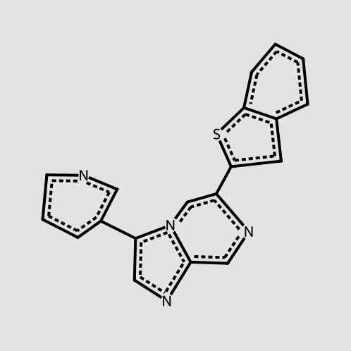 c1cncc(-c2cnc3cnc(-c4cc5ccccc5s4)cn23)c1